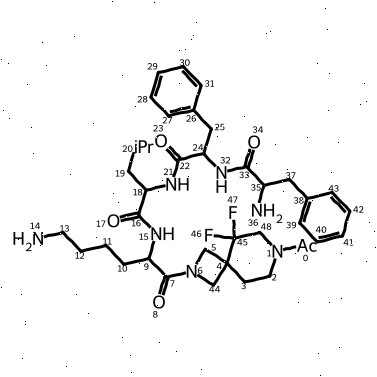 CC(=O)N1CCC2(CN(C(=O)C(CCCCN)NC(=O)C(CC(C)C)NC(=O)C(Cc3ccccc3)NC(=O)C(N)Cc3ccccc3)C2)C(F)(F)C1